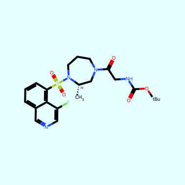 C[C@H]1CN(C(=O)CNC(=O)OC(C)(C)C)CCCN1S(=O)(=O)c1cccc2cncc(F)c12